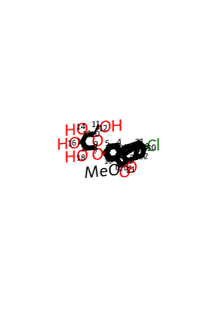 COC1(c2cccc(O[C@@H]3O[C@H](CO)[C@H](O)[C@H](O)[C@H]3O)c2)OOC12C1CC3CC2CC(Cl)(C3)C1